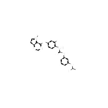 Cn1ccc2ncnc(Oc3ccc(NC(=O)Nc4cccc(OC(F)F)c4)c(Cl)c3)c21